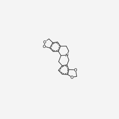 c1c2c(cc3c1CCN1Cc4c(ccc5c4OCO5)CC31)OOC2